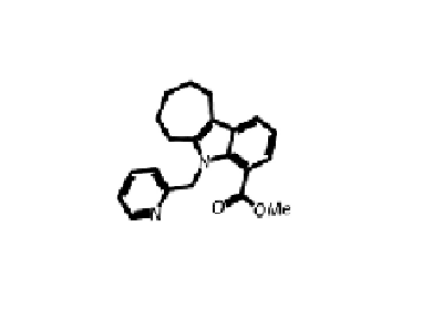 COC(=O)c1cccc2c3c(n(Cc4ccccn4)c12)CCCCC3